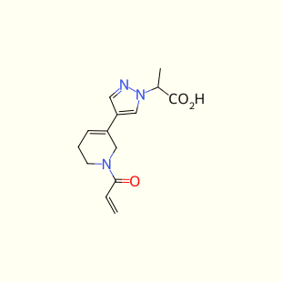 C=CC(=O)N1CCC=C(c2cnn(C(C)C(=O)O)c2)C1